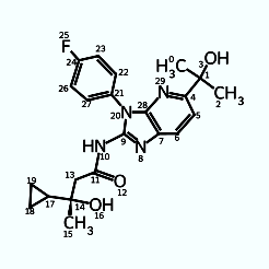 CC(C)(O)c1ccc2nc(NC(=O)C[C@](C)(O)C3CC3)n(-c3ccc(F)cc3)c2n1